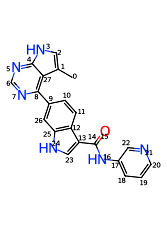 Cc1c[nH]c2ncnc(-c3ccc4c(C(=O)Nc5cccnc5)c[nH]c4c3)c12